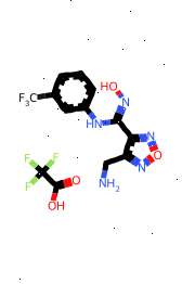 NCc1nonc1/C(=N/O)Nc1cccc(C(F)(F)F)c1.O=C(O)C(F)(F)F